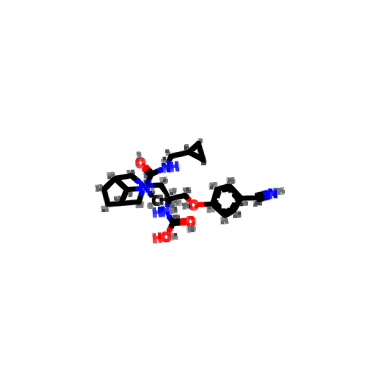 CN(C(=O)NCC1CC1)C1C2CCC1CN(C[C@@H](COc1ccc(C#N)cc1)NC(=O)O)C2